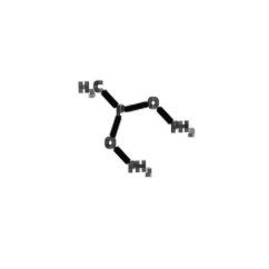 CP(OP)OP